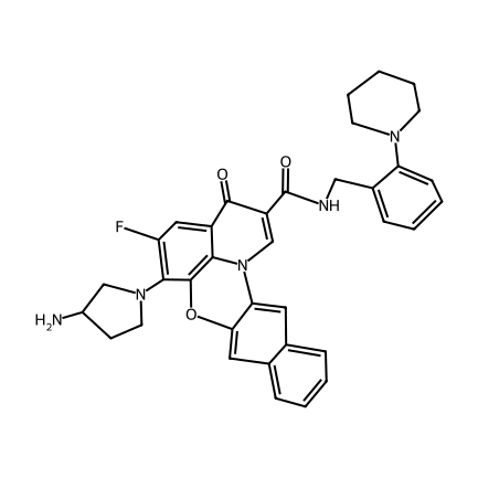 NC1CCN(c2c(F)cc3c(=O)c(C(=O)NCc4ccccc4N4CCCCC4)cn4c3c2Oc2cc3ccccc3cc2-4)C1